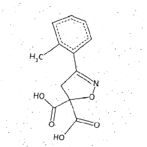 Cc1ccccc1C1=NOC(C(=O)O)(C(=O)O)C1